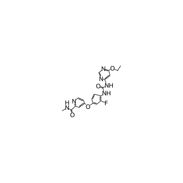 CCOc1cc(NC(=O)Nc2ccc(Oc3ccnc(C(=O)NC)c3)cc2F)ncn1